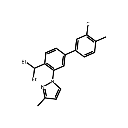 CCC(CC)c1ccc(-c2ccc(C)c(Cl)c2)cc1-n1ccc(C)n1